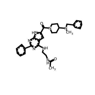 CC(=O)NCCNc1nc(-c2ccccc2)nc2[nH]c(C(=O)N3CCC(N(C)Cc4ccccc4)CC3)cc12